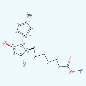 CC(C)OC(=O)CCCCCC[C@@H]1[C@@H](c2ccc(C(C)(C)C)cc2)[C@H](O)C[C@H]1Cl